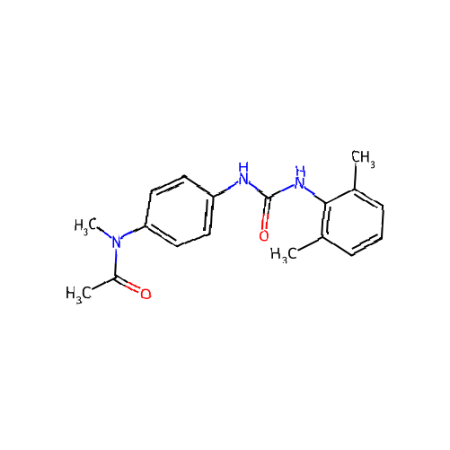 CC(=O)N(C)c1ccc(NC(=O)Nc2c(C)cccc2C)cc1